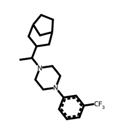 CC(C1CC2CCC(C2)C1)N1CCN(c2cccc(C(F)(F)F)c2)CC1